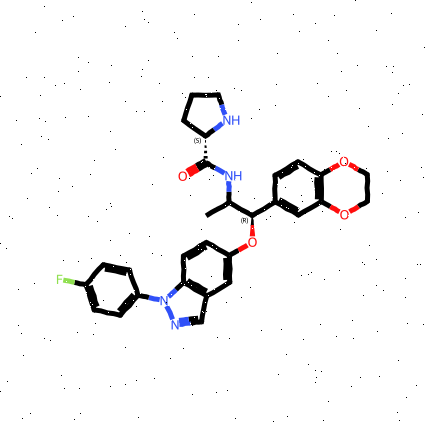 CC(NC(=O)[C@@H]1CCCN1)[C@H](Oc1ccc2c(cnn2-c2ccc(F)cc2)c1)c1ccc2c(c1)OCCO2